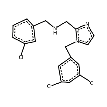 Clc1cccc(CNCc2nccn2Cc2cc(Cl)cc(Cl)c2)c1